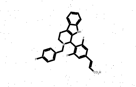 O=C(O)/C=C/c1cc(F)c(C2c3[nH]c4ccccc4c3CCN2Cc2ccc(F)cc2)c(F)c1